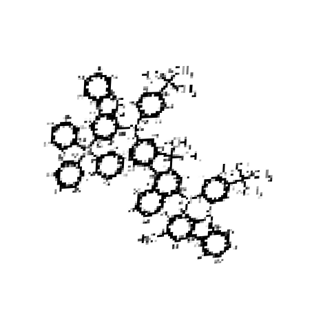 Cc1cc(N(c2ccc(C(C)(C)C)cc2)c2cc3c(c4ccccc24)-c2ccc(N(c4ccc(C(C)(C)C)cc4)c4cc([Si](c5ccccc5)(c5ccccc5)c5ccccc5)cc5c4oc4ccccc45)cc2C3(C)C)c2oc3ccccc3c2c1